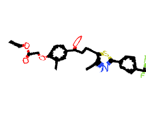 CCOC(=O)COc1ccc(C(=O)CCc2sc(-c3ccc(C(F)(F)F)cc3)nc2C)cc1C